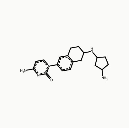 Nc1ccn(-c2ccc3c(c2)CCC(NC2CCC(N)C2)C3)c(=O)n1